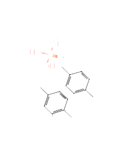 Cc1ccc(C)cc1.Cc1ccc(C)cc1.O=P(O)(O)O